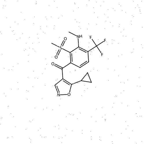 CNc1c(C(F)(F)F)ccc(C(=O)c2cnoc2C2CC2)c1S(C)(=O)=O